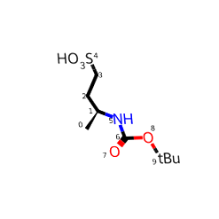 C[C@@H](CCS(=O)(=O)O)NC(=O)OC(C)(C)C